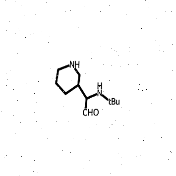 CC(C)(C)NC(C=O)C1CCCNC1